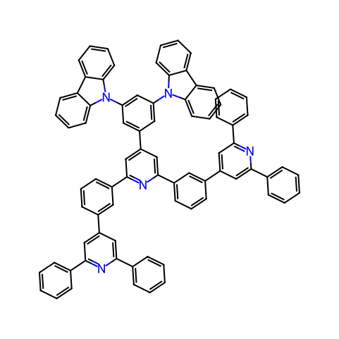 c1ccc(-c2cc(-c3cccc(-c4cc(-c5cc(-n6c7ccccc7c7ccccc76)cc(-n6c7ccccc7c7ccccc76)c5)cc(-c5cccc(-c6cc(-c7ccccc7)nc(-c7ccccc7)c6)c5)n4)c3)cc(-c3ccccc3)n2)cc1